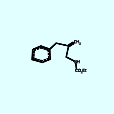 C=C(CNC(=O)OCC)Cc1ccccc1